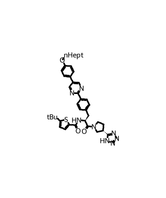 CCCCCCCOc1ccc(-c2cnc(-c3ccc(C[C@H](NC(=O)c4ccc(C(C)(C)C)s4)C(=O)N4CC[C@H](c5nnn[nH]5)C4)cc3)nc2)cc1